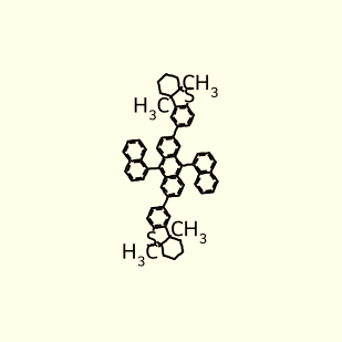 CC12CCCCC1(C)c1cc(-c3ccc4c(-c5cccc6ccccc56)c5cc(-c6ccc7c(c6)C6(C)CCCCC6(C)S7)ccc5c(-c5cccc6ccccc56)c4c3)ccc1S2